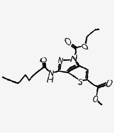 CCCCC(=O)Nc1nn(C(=O)OCC)c2cc(C(=O)OC)sc12